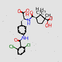 CC1(C)[C@H](C(=O)N[C@H](Cc2ccc(NC(=O)c3c(Cl)cccc3Cl)cc2)C(=O)O)CC[C@@]1(C)C(=O)O